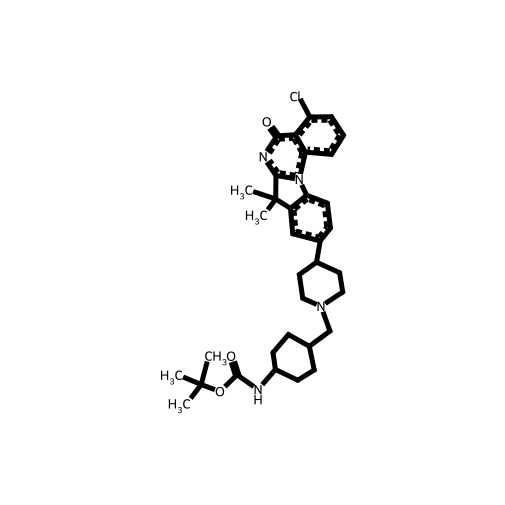 CC(C)(C)OC(=O)NC1CCC(CN2CCC(c3ccc4c(c3)C(C)(C)c3nc(=O)c5c(Cl)cccc5n3-4)CC2)CC1